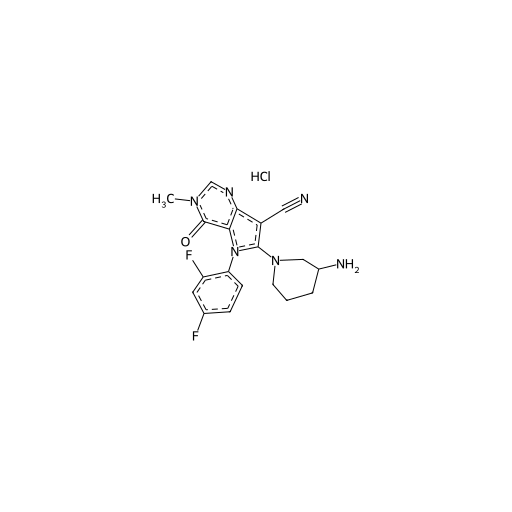 Cl.Cn1cnc2c(C#N)c(N3CCCC(N)C3)n(-c3ccc(F)cc3F)c2c1=O